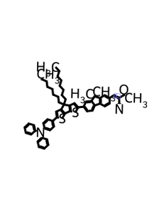 CCCCCCCCC1(CCCCCCCC)c2cc(-c3ccc(N(c4ccccc4)c4ccccc4)cc3)sc2-c2sc(-c3ccc4c(c3)C(C)(C)c3cc(/C=C(\C#N)C(C)=O)ccc3-4)cc21